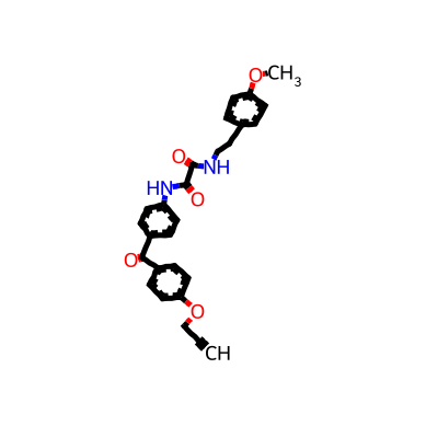 C#CCOc1ccc(C(=O)c2ccc(NC(=O)C(=O)NCCc3ccc(OC)cc3)cc2)cc1